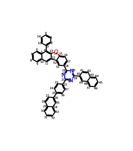 c1ccc(-c2c3ccccc3cc3c2oc2ccc(-c4nc(-c5ccc(-c6ccc7ccccc7c6)cc5)nc(-c5ccc6ccccc6c5)n4)cc23)cc1